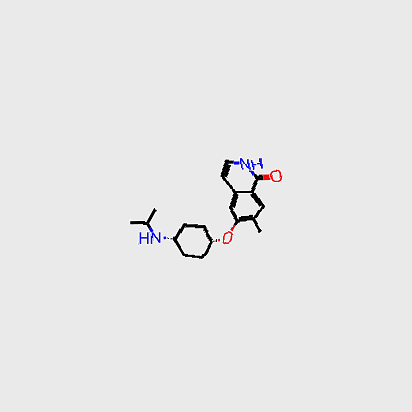 Cc1cc2c(=O)[nH]ccc2cc1O[C@H]1CC[C@@H](NC(C)C)CC1